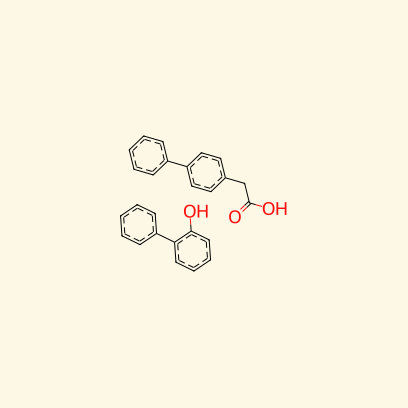 O=C(O)Cc1ccc(-c2ccccc2)cc1.Oc1ccccc1-c1ccccc1